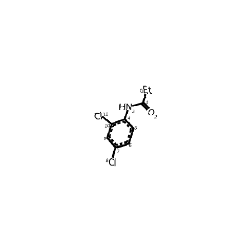 CCC(=O)Nc1ccc(Cl)cc1Cl